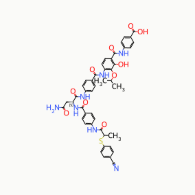 CC(C)Oc1c(NC(=O)c2ccc(NC(=O)[C@H](CC(N)=O)NC(=O)c3ccc(NC(=O)C(C)Sc4ccc(C#N)cc4)cc3)cc2)ccc(C(=O)Nc2ccc(C(=O)O)cc2)c1O